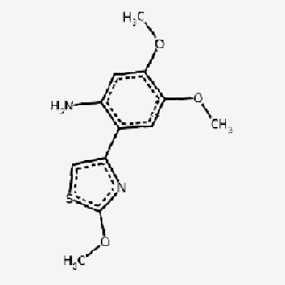 COc1nc(-c2cc(OC)c(OC)cc2N)cs1